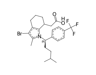 Cc1c(Br)c2c(n1[C@H](CCC(C)C)c1ccc(C(F)(F)F)cc1)C(CC(=O)O)CCC2